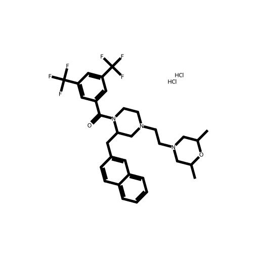 CC1CN(CCN2CCN(C(=O)c3cc(C(F)(F)F)cc(C(F)(F)F)c3)C(Cc3ccc4ccccc4c3)C2)CC(C)O1.Cl.Cl